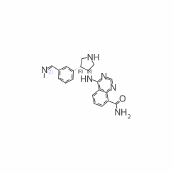 C/N=C\c1cccc([C@@H]2CNC[C@@H]2Nc2ncnc3c(C(N)=O)cccc23)c1